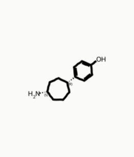 N[C@H]1CCC[C@@H](c2ccc(O)cc2)CC1